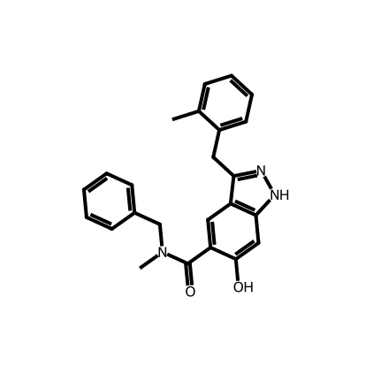 Cc1ccccc1Cc1n[nH]c2cc(O)c(C(=O)N(C)Cc3ccccc3)cc12